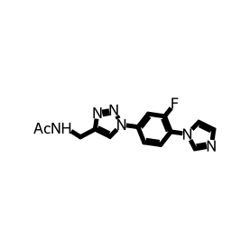 CC(=O)NCc1cn(-c2ccc(-n3ccnc3)c(F)c2)nn1